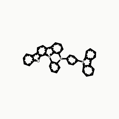 c1ccc2c(c1)N(c1ccc(-n3c4ccccc4c4ccccc43)cc1)c1cccc3c4ccc5c6ccccc6oc5c4n-2c13